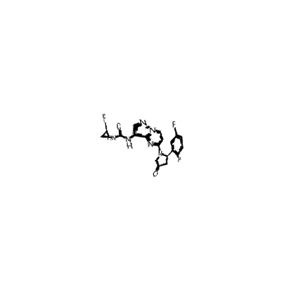 O=C1C[C@H](c2cc(F)ccc2F)N(c2ccn3ncc(NC(=O)N[C@H]4C[C@H]4F)c3n2)C1